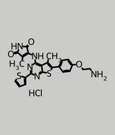 CC1=C(Nc2nc(-c3cccs3)nc3sc(-c4ccc(OCCN)cc4)c(C)c23)C(=O)NC1=O.Cl